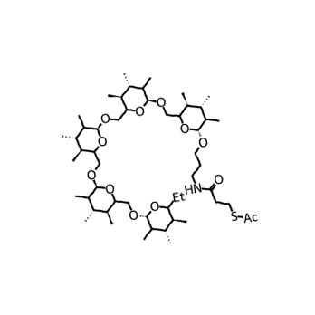 CCC1O[C@@H](OCC2O[C@H](OCC3O[C@H](OCC4O[C@H](OCC5O[C@@H](OCCCNC(=O)CCSC(C)=O)C(C)[C@@H](C)[C@@H]5C)C(C)[C@@H](C)[C@@H]4C)C(C)[C@@H](C)[C@@H]3C)C(C)[C@@H](C)[C@@H]2C)C(C)[C@@H](C)[C@@H]1C